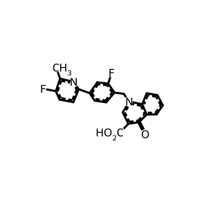 Cc1nc(-c2ccc(Cn3cc(C(=O)O)c(=O)c4ccccc43)c(F)c2)ccc1F